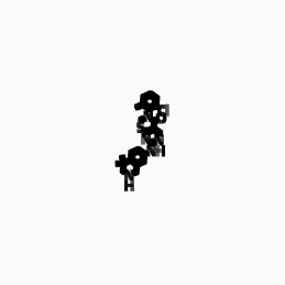 Cc1cccc(Cl)c1N1CSc2nc(Nc3ccc4c(c3)CNCC4(C)C)ncc2C1=O